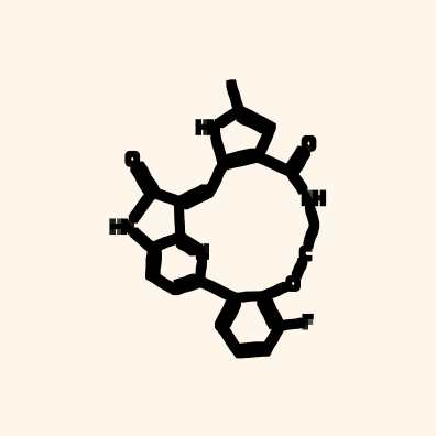 Cc1cc2c([nH]1)/C=C1\C(=O)Nc3ccc(nc31)-c1cccc(F)c1OCCNC2=O